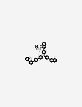 CC1(C)C(c2ccc(N(c3ccc(-c4ccc(-c5cccc6c5oc5ccccc56)cc4)cc3)c3ccc(-c4ccc5ccccc5c4)cc3)cc2)=Cc2ccccc21